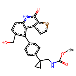 CC(C)(C)OC(=O)NCC1(c2ccc(-c3c(CO)ccc4[nH]c(=O)c5sccc5c34)cc2)CC1